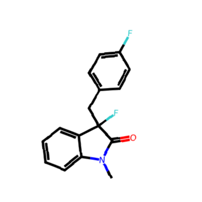 CN1C(=O)C(F)(Cc2ccc(F)cc2)c2ccccc21